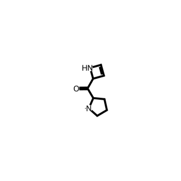 O=C(C1CCC[N]1)C1C=CN1